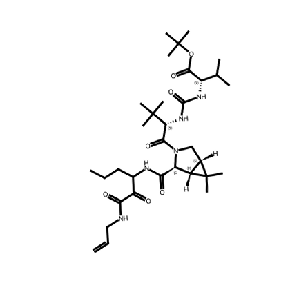 C=CCNC(=O)C(=O)C(CCC)NC(=O)[C@@H]1[C@@H]2[C@H](CN1C(=O)[C@@H](NC(=O)N[C@H](C(=O)OC(C)(C)C)C(C)C)C(C)(C)C)C2(C)C